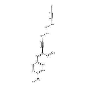 COc1ccc(/C=C(/C#CCCCCC#CI)C=O)cc1